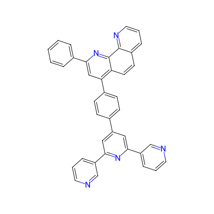 c1ccc(-c2cc(-c3ccc(-c4cc(-c5cccnc5)nc(-c5cccnc5)c4)cc3)c3ccc4cccnc4c3n2)cc1